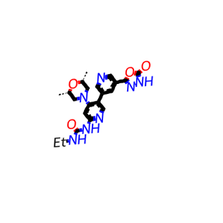 CCNC(=O)Nc1cc(N2C[C@@H](C)O[C@@H](C)C2)c(-c2cncc(-c3n[nH]c(=O)o3)c2)cn1